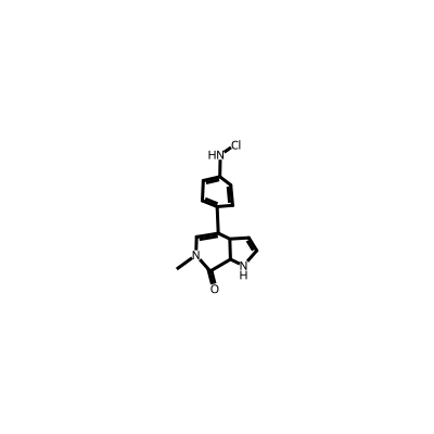 CN1C=C(c2ccc(NCl)cc2)C2C=CNC2C1=O